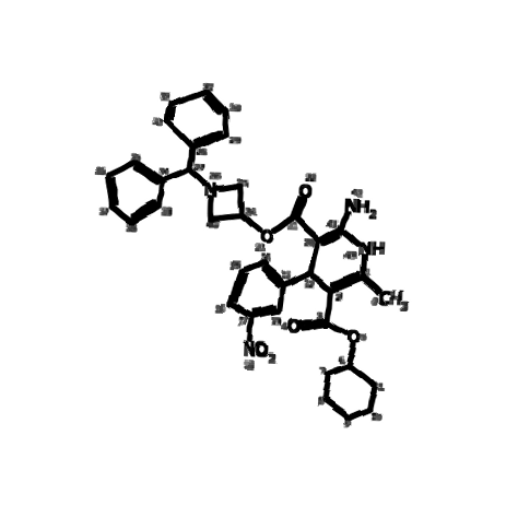 CC1=C(C(=O)OC2CCCCC2)C(c2cccc([N+](=O)[O-])c2)C(C(=O)OC2CN(C(c3ccccc3)c3ccccc3)C2)=C(N)N1